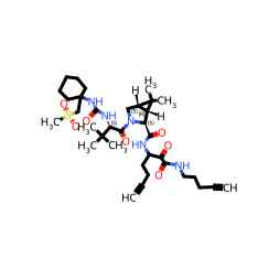 C#CCCCNC(=O)C(=O)C(CCC#C)NC(=O)[C@@H]1[C@@H]2[C@H](CN1C(=O)[C@@H](NC(=O)NC1(CS(C)(=O)=O)CCCCC1)C(C)(C)C)C2(C)C